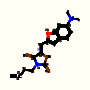 CN(C)c1ccc2cc(/C=C3\SC(=S)N(CCC(=O)O)C3=S)oc2c1